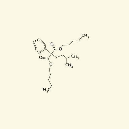 CCCCCOC(=O)C(CCC(C)C)(C(=O)OCCCCC)c1ccccc1